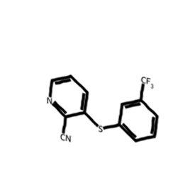 N#Cc1ncccc1Sc1cccc(C(F)(F)F)c1